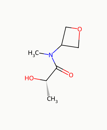 C[C@H](O)C(=O)N(C)C1COC1